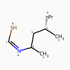 CCC[C@H](C)CC(C)/N=C\S